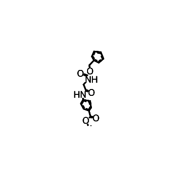 [CH2]OC(=O)c1ccc(NC(=O)CNC(=O)OCc2ccccc2)cc1